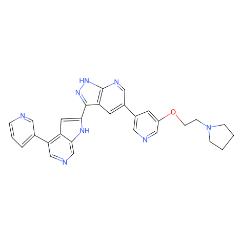 c1cncc(-c2cncc3[nH]c(-c4n[nH]c5ncc(-c6cncc(OCCN7CCCC7)c6)cc45)cc23)c1